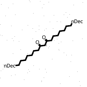 CCCCCCCCCCCCCCCCCC(=O)[C]C(=O)CCCCCCCCCCCCCCCCC